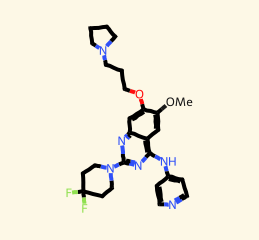 COc1cc2c(Nc3ccncc3)nc(N3CCC(F)(F)CC3)nc2cc1OCCCN1CCCC1